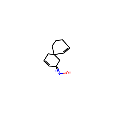 O/N=C1/C=CCC2(C=CCCC2)C1